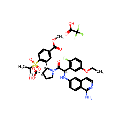 CCOc1ccc(F)c([C@@H](Nc2ccc3c(N)nccc3c2)C(=O)N2CC[C@H](C(=O)O)[C@@H]2c2cc(C(=O)OC)ccc2S(=O)(=O)C(C)C)c1.O=C(O)C(F)(F)F